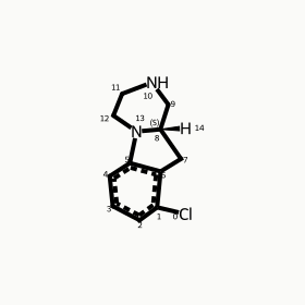 Clc1cccc2c1C[C@H]1CNCCN21